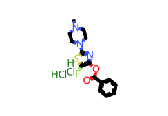 CN1CCN(c2nc(OC(=O)c3ccccc3)c(F)s2)CC1.Cl.Cl